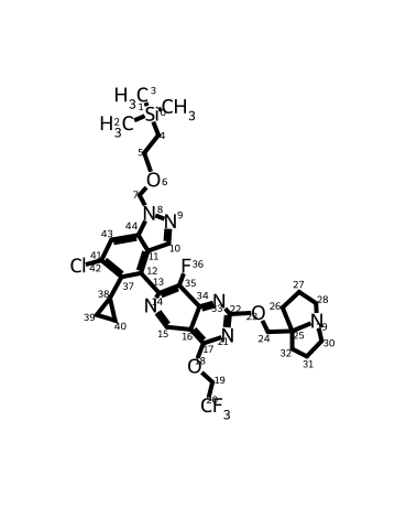 C[Si](C)(C)CCOCn1ncc2c(-c3ncc4c(OCC(F)(F)F)nc(OCC56CCCN5CCC6)nc4c3F)c(C3CC3)c(Cl)cc21